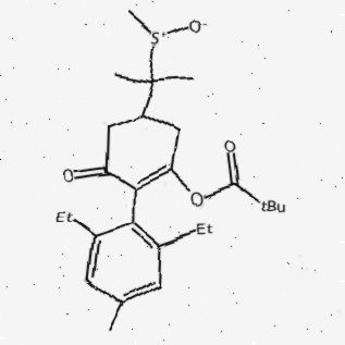 CCc1cc(C)cc(CC)c1C1=C(OC(=O)C(C)(C)C)CC(C(C)(C)[S+](C)[O-])CC1=O